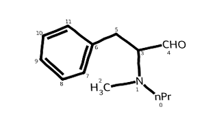 CCCN(C)C(C=O)Cc1c[c]ccc1